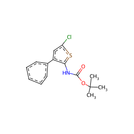 CC(C)(C)OC(=O)Nc1sc(Cl)cc1-c1ccccc1